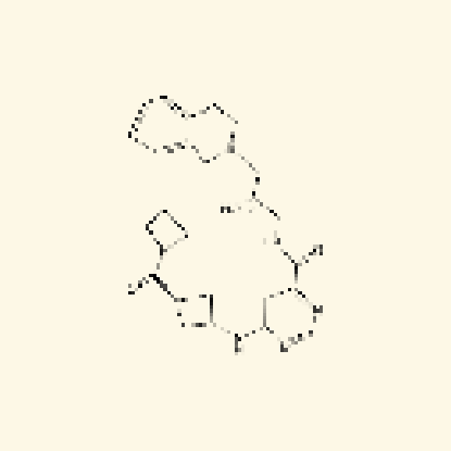 O=C(NC[C@H](O)CN1CCc2ccccc2C1)c1cc(N[C@H]2C[C@H](C(=O)N3CCC3)C2)ncn1